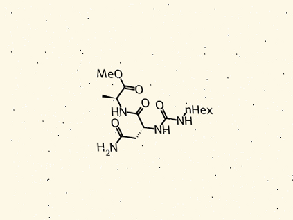 CCCCCCNC(=O)N[C@H](CC(N)=O)C(=O)N[C@@H](C)C(=O)OC